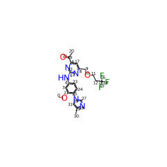 COc1cc(Nc2nc(COCCC(F)(F)F)cc(C(C)=O)n2)ccc1-n1cnc(C)c1